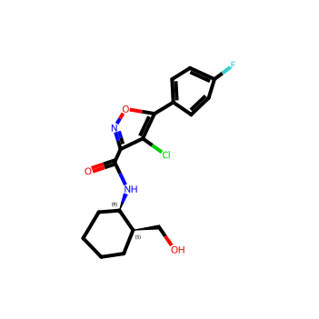 O=C(N[C@@H]1CCCC[C@@H]1CO)c1noc(-c2ccc(F)cc2)c1Cl